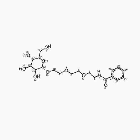 O=C(NCCOCCOCCO[C@H]1OC(CO)[C@@H](O)C(O)C1O)c1ccccc1